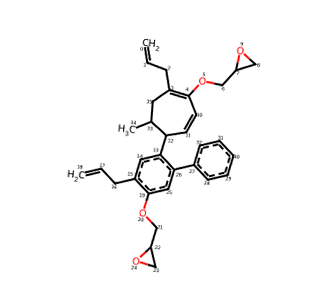 C=CCC1=C(OCC2CO2)C=CC(c2cc(CC=C)c(OCC3CO3)cc2-c2ccccc2)C(C)C1